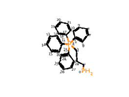 PCCCP(c1ccccc1)(c1ccccc1)(c1ccccc1)c1ccccc1